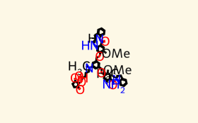 COc1cc(C(=O)N2c3ccccc3C[C@H]2C)c(N)cc1OCc1cc(COc2cc3c(cc2OC)C(=O)N2c4ccccc4C[C@H]2CN3)cc(N(C)CCCC(=O)OC2C(=O)CCC2O)c1